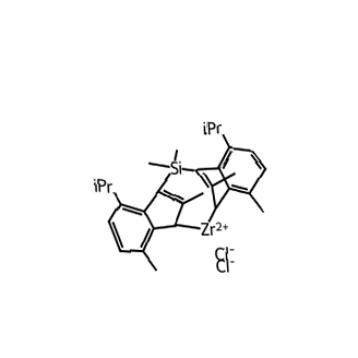 CC1=C2c3c(C(C)C)ccc(C)c3[CH]1[Zr+2][CH]1C(C)=C(c3c(C(C)C)ccc(C)c31)[Si]2(C)C.[Cl-].[Cl-]